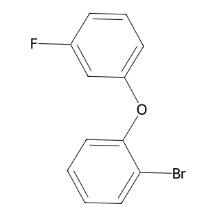 Fc1cccc(Oc2ccccc2Br)c1